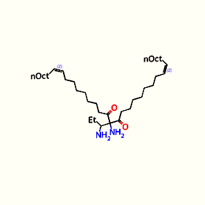 CCCCCCCC/C=C\CCCCCCCC(=O)C(N)(C(=O)CCCCCCC/C=C\CCCCCCCC)C(N)CC